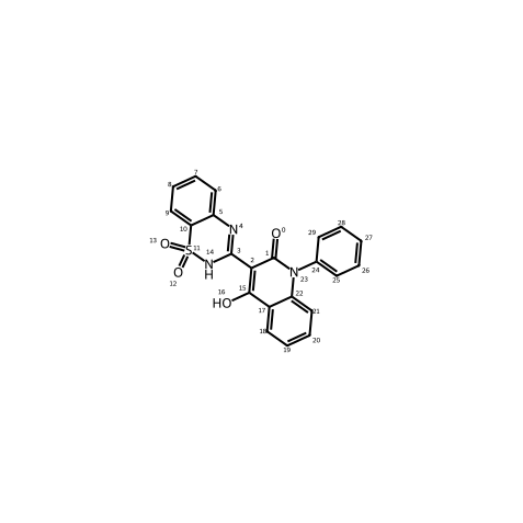 O=c1c(C2=Nc3ccccc3S(=O)(=O)N2)c(O)c2ccccc2n1-c1ccccc1